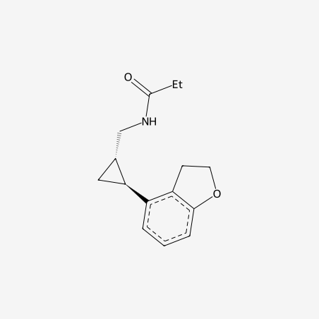 CCC(=O)NC[C@H]1C[C@@H]1c1cccc2c1CCO2